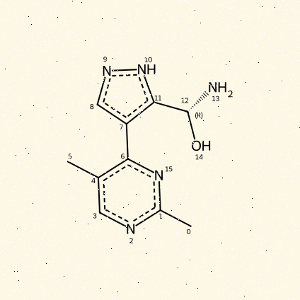 Cc1ncc(C)c(-c2cn[nH]c2[C@H](N)O)n1